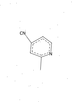 [C-]#[N+]c1ccnc(C)c1